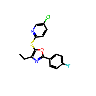 CCc1nc(-c2ccc(F)cc2)oc1Sc1ccc(Cl)cn1